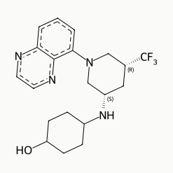 OC1CCC(N[C@H]2C[C@@H](C(F)(F)F)CN(c3cccc4nccnc34)C2)CC1